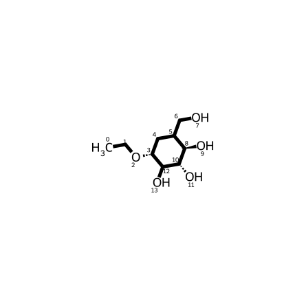 CCO[C@@H]1CC(CO)[C@@H](O)[C@H](O)C1O